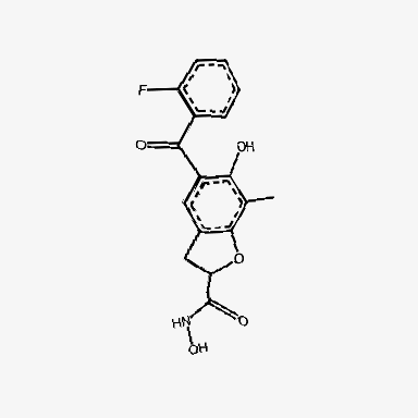 Cc1c(O)c(C(=O)c2ccccc2F)cc2c1OC(C(=O)NO)C2